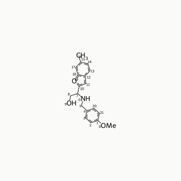 COc1ccc(CNC(CO)c2cc3ccc(C)cc3o2)cc1